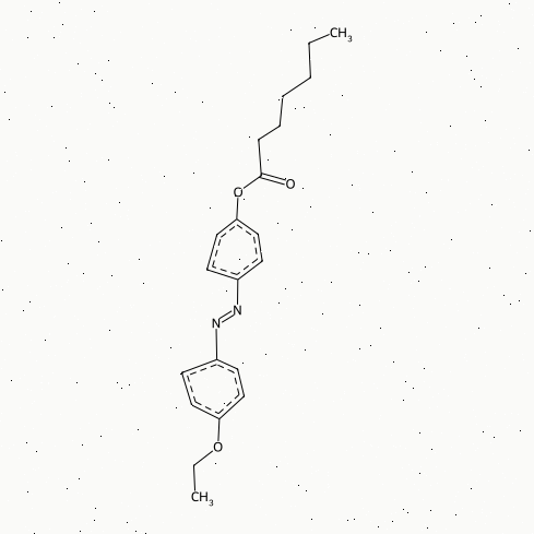 CCCCCCC(=O)Oc1ccc(N=Nc2ccc(OCC)cc2)cc1